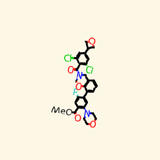 COC(=O)c1cc(F)c(-c2cccc3c2OCN(C(=O)c2c(Cl)cc(C4COC4)cc2Cl)C3)cc1N1CCOCC1